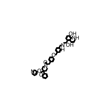 O=C(Cc1ccc(OCc2ccc(CNCC(O)c3ccc(O)c4c3C=CCN4)cc2)cc1)N1CCC(C(=O)OC2CN3CCC2CC3)(c2ccccc2)CC1